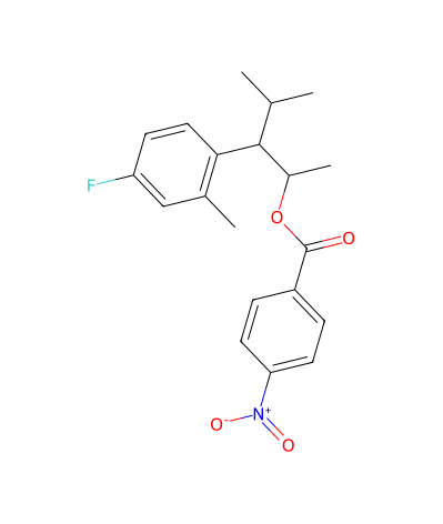 Cc1cc(F)ccc1C(C(C)C)C(C)OC(=O)c1ccc([N+](=O)[O-])cc1